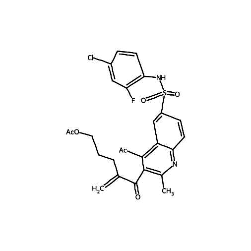 C=C(CCCOC(C)=O)C(=O)c1c(C)nc2ccc(S(=O)(=O)Nc3ccc(Cl)cc3F)cc2c1C(C)=O